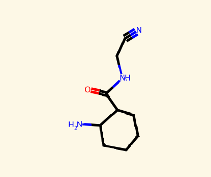 N#CCNC(=O)C1CCCCC1N